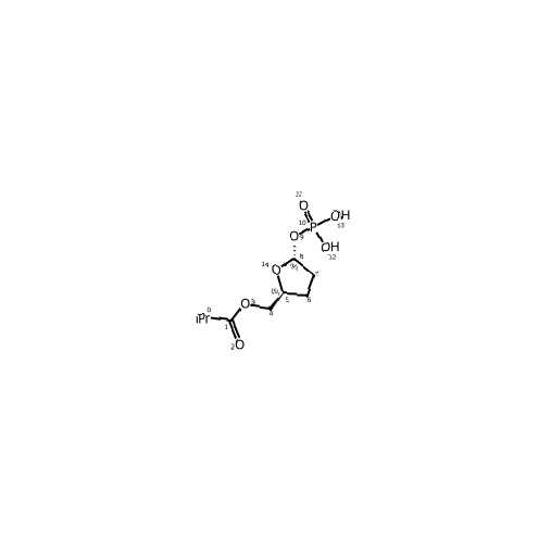 CC(C)C(=O)OC[C@@H]1CC[C@@H](OP(=O)(O)O)O1